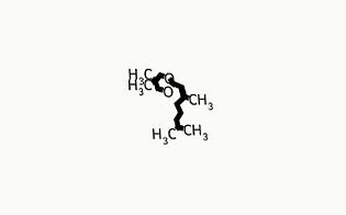 CC(=CC1OCC(C)(C)CO1)CCCC(C)C